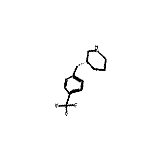 FC(F)(F)c1ccc(C[C@H]2CCCNC2)cc1